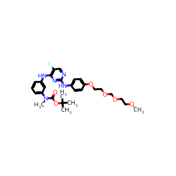 COCCOCOCCOc1ccc(Nc2ncc(F)c(Nc3cccc(N(C)C(=O)OC(C)(C)C)c3)n2)cc1